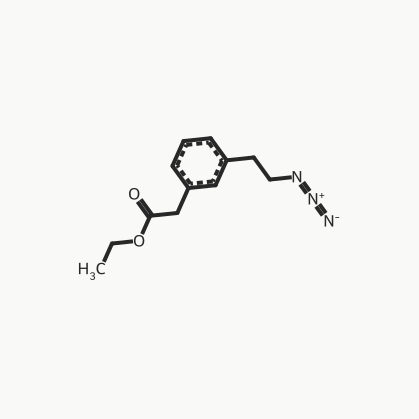 CCOC(=O)Cc1cccc(CCN=[N+]=[N-])c1